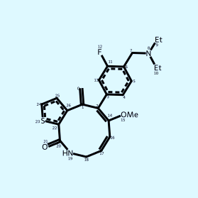 C=C1/C(c2ccc(CN(CC)CC)c(F)c2)=C(OC)\C=C/CNC(=O)c2sccc21